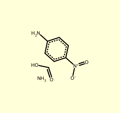 N.Nc1ccc([N+](=O)[O-])cc1.O=CO